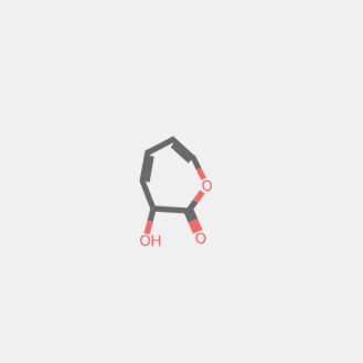 O=C1OC=CC=CC1O